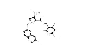 Cc1cc(N)nc(C)c1CNC(=O)c1nn(Cc2ccc3ncc(Cl)cc3c2)cc1[N+](=O)[O-]